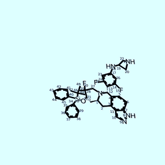 C[C@@H]1Cc2c(ccc3[nH]ncc23)[C@@H](c2c(F)cc(NC3CNC3)cc2F)N1CC(C)(F)CO[Si](c1ccccc1)(c1ccccc1)C(C)(C)C